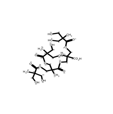 CC(COC(=O)C(C)(CO)CO)(COC(=O)C(C)(COC(=O)C(C)(CO)CO)COC(=O)C(C)(CO)CO)C(=O)O